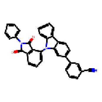 N#Cc1cccc(-c2ccc3c4ccccc4n(-c4cccc5c4C(=O)N(c4ccccc4)C5=O)c3c2)c1